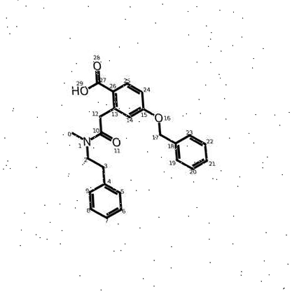 CN(CCc1ccccc1)C(=O)Cc1cc(OCc2ccccc2)ccc1C(=O)O